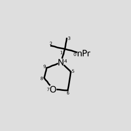 CCCC(C)(C)N1CCOCC1